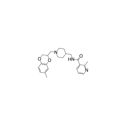 Cc1ccc2c(c1)OC(CN1CCC(CNC(=O)c3cccnc3C)CC1)CO2